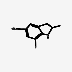 CC1Cc2cc(C(C)(C)C)cc(F)c2N1